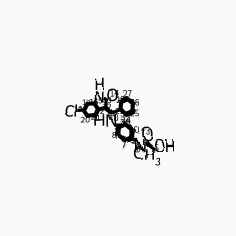 CN(C(=O)CO)c1ccc(NC(=C2C(=O)Nc3cc(Cl)ccc32)c2ccccc2)cc1